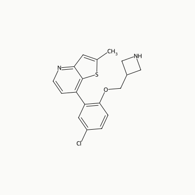 Cc1cc2nccc(-c3cc(Cl)ccc3OCC3CNC3)c2s1